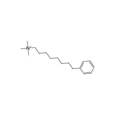 C[N+](C)(C)CCCCCCCCc1ccccc1